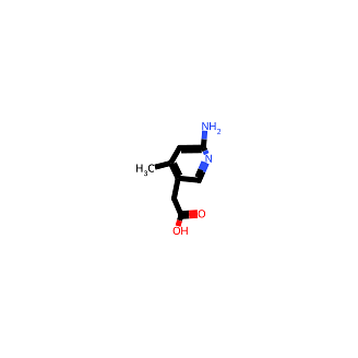 Cc1cc(N)ncc1CC(=O)O